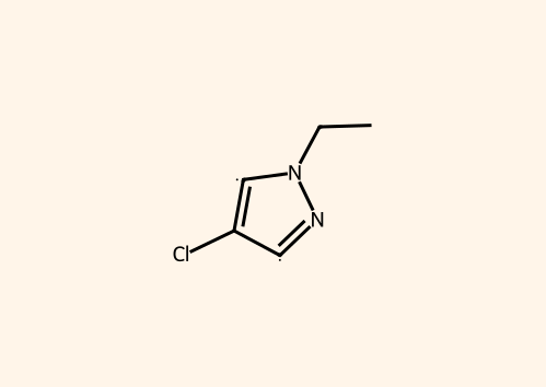 CCn1[c]c(Cl)[c]n1